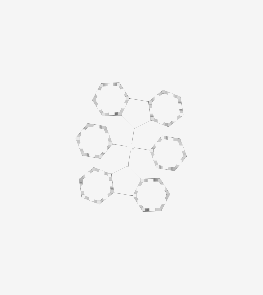 c1ccc([Si](c2ccccc2)(C2c3ccccc3-c3ccccc32)C2c3ccccc3-c3ccccc32)cc1